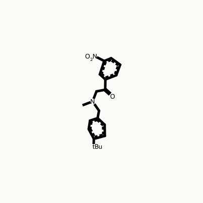 CN(CC(=O)c1cccc([N+](=O)[O-])c1)Cc1ccc(C(C)(C)C)cc1